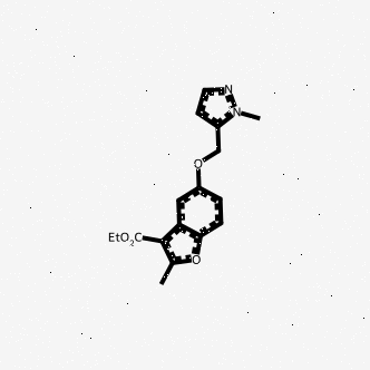 CCOC(=O)c1c(C)oc2ccc(OCc3ccnn3C)cc12